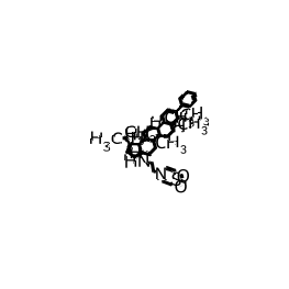 C=C(C)C1=CC[C@]2(NCCN3CCS(=O)(=O)CC3)CC[C@]3(C)[C@H](CC[C@@H]4[C@@]5(C)CC=C(c6ccccc6)C(C)(C)[C@@H]5CC[C@]43C)[C@@H]12